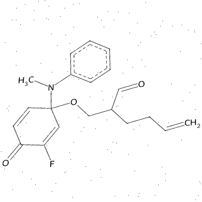 C=CCCC(C=O)COC1(N(C)c2ccccc2)C=CC(=O)C(F)=C1